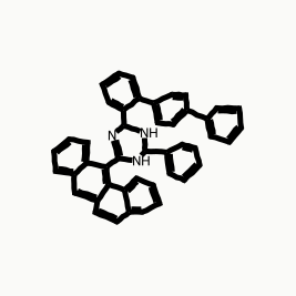 c1ccc(-c2ccc(-c3ccccc3C3N=C(c4c5ccccc5cc5ccc6ccccc6c45)NC(c4ccccc4)N3)cc2)cc1